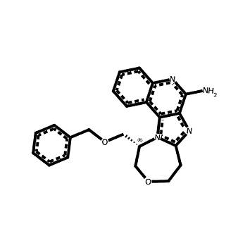 Nc1nc2ccccc2c2c1nc1n2[C@@H](COCc2ccccc2)COCC1